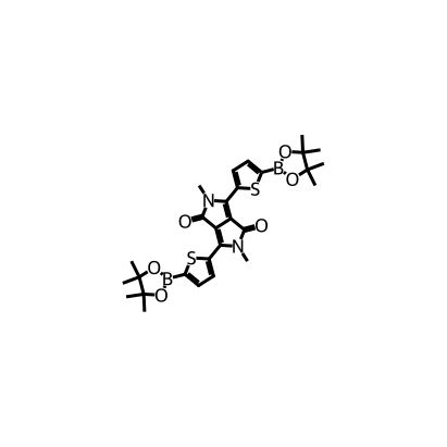 CN1C(=O)C2=C(c3ccc(B4OC(C)(C)C(C)(C)O4)s3)N(C)C(=O)C2=C1c1ccc(B2OC(C)(C)C(C)(C)O2)s1